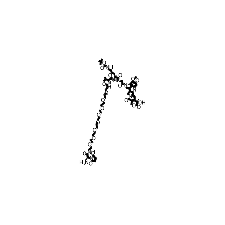 CC(C)[C@H](NC(=O)CCOCCOCCOCCOCCOCCOCCOCCOCCNC(=O)[C@H](CN)N1C(=O)C=CC1=O)C(=O)N[C@@H](CCCCNC(=O)OC(C)(C)C)C(=O)NCC(=O)NCc1c2c(nc3cc4c(cc13)OCO4)-c1cc3c(c(=O)n1C2)COC(=O)[C@@]3(C)O